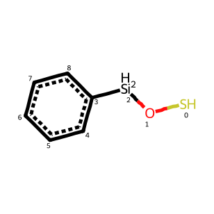 SO[SiH2]c1ccccc1